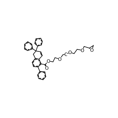 O=C(OCCOCCOCCOCC1CO1)c1c(-c2ccccc2)ccc2c1C=CC(c1ccccc1)(c1ccccc1)C2